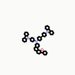 c1ccc2c(c1)oc1c2ccc2ccc3cc(N(c4ccc(-c5ccc(-n6c7ccccc7c7ccccc76)cc5)cc4)c4ccc(-n5c6ccccc6c6ccccc65)cc4)ccc3c21